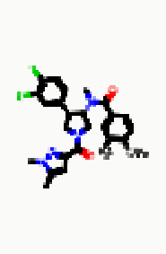 COc1ccc(C(=O)N(C)[C@@H]2CN(C(=O)c3cc(C)n(C)n3)C[C@H]2c2ccc(Cl)c(Cl)c2)cc1C(F)(F)F